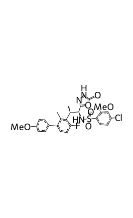 COc1ccc(-c2ccc(F)c([C@@H](C)[C@H](NS(=O)(=O)c3ccc(Cl)cc3OC)c3n[nH]c(=O)o3)c2C)cc1